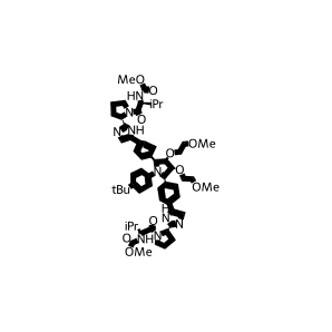 COCCO[C@H]1[C@H](OCCOC)[C@H](c2ccc(-c3cnc([C@@H]4CCCN4C(=O)[C@@H](NC(=O)OC)C(C)C)[nH]3)cc2)N(c2ccc(C(C)(C)C)cc2)[C@H]1c1ccc(-c2cnc([C@@H]3CCCN3C(=O)[C@@H](NC(=O)OC)C(C)C)[nH]2)cc1